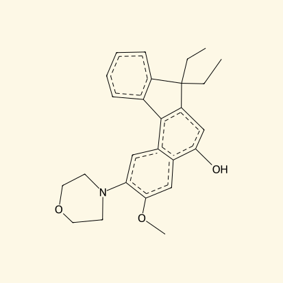 CCC1(CC)c2ccccc2-c2c1cc(O)c1cc(OC)c(N3CCOCC3)cc21